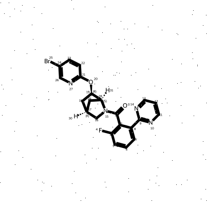 O=C(c1c(F)cccc1-c1ncccn1)N1C[C@H]2C[C@@H](Oc3ccc(Br)cn3)[C@@H]1C2